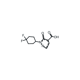 O=C(O)c1ccnn(C2CCC(F)(F)CC2)c1=O